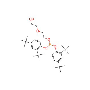 CC(C)(C)c1ccc(OP(OCCOCCO)Oc2ccc(C(C)(C)C)cc2C(C)(C)C)c(C(C)(C)C)c1